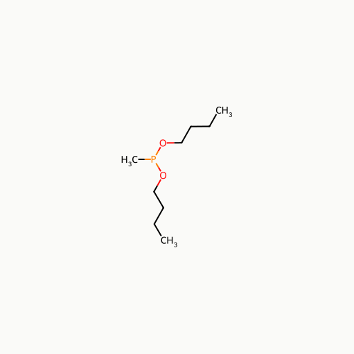 CCCCOP(C)OCCCC